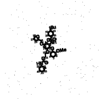 COc1ccccc1Oc1c(NS(=O)(=O)c2ccc(C(C)(C)C)cc2)nc(OCc2ccco2)nc1OCCOC(=O)Nc1ccccn1